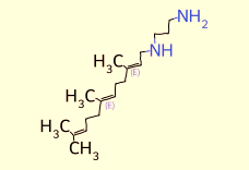 CC(C)=CCC/C(C)=C/CC/C(C)=C/CNCCCN